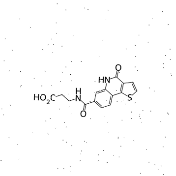 O=C(O)CCNC(=O)c1ccc2c(c1)[nH]c(=O)c1ccsc12